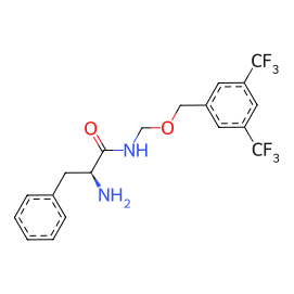 N[C@@H](Cc1ccccc1)C(=O)NCOCc1cc(C(F)(F)F)cc(C(F)(F)F)c1